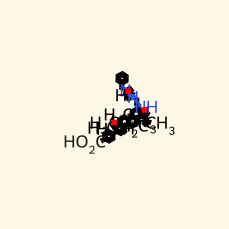 C=C(C)[C@@H]1CC[C@]2(NCCN3C[C@@H]4CC3CN4Cc3ccccc3)CC[C@]3(C)[C@H](CC[C@@H]4[C@@]5(C)CC=C(c6ccc(C(=O)O)cc6)C(C)(C)[C@@H]5CC[C@]43C)[C@@H]12